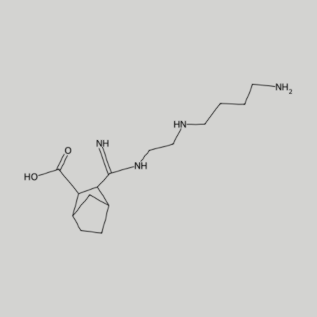 N=C(NCCNCCCCN)C1C2CCC(C2)C1C(=O)O